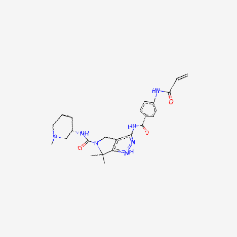 C=CC(=O)Nc1ccc(C(=O)Nc2n[nH]c3c2CN(C(=O)N[C@H]2CCCN(C)C2)C3(C)C)cc1